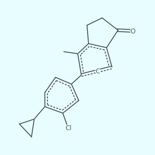 Cc1c(-c2ccc(C3CC3)c(Cl)c2)ccc2c1CCC2=O